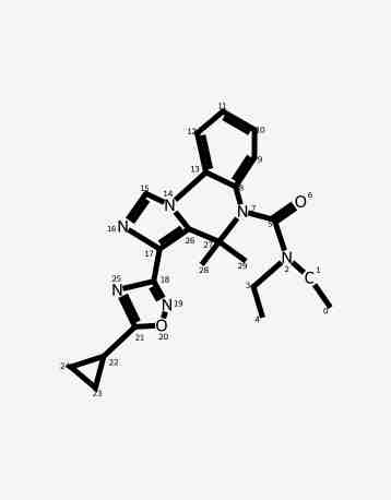 CCN(CC)C(=O)N1c2ccccc2-n2cnc(-c3noc(C4CC4)n3)c2C1(C)C